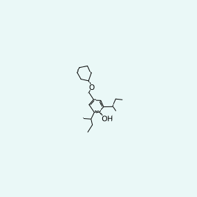 CCC(C)c1cc(COC2CCCCC2)cc(C(C)CC)c1O